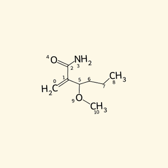 C=C(C(N)=O)C(CCC)OC